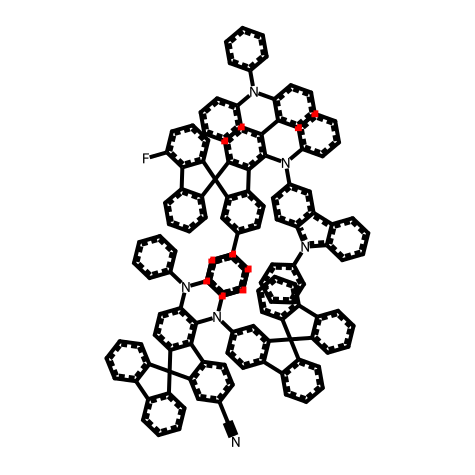 N#Cc1ccc2c(c1)C1(c3ccccc3-c3ccccc31)c1ccc(N(c3ccccc3)c3cccc(-c4ccc5c(c4)C4(c6ccccc6-c6c(F)cccc64)c4ccc(-c6ccccc6N(c6ccccc6)c6ccccc6)c(N(c6ccccc6)c6ccc7c(c6)c6ccccc6n7-c6ccccc6)c4-5)c3)c(N(c3ccccc3)c3ccc4c(c3)C3(c5ccccc5-c5ccccc53)c3ccccc3-4)c1-2